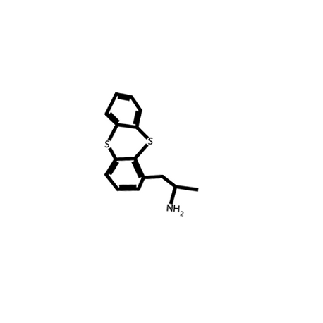 CC(N)Cc1cccc2c1Sc1ccccc1S2